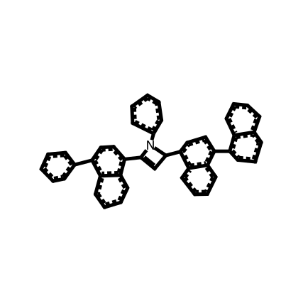 C1=C(c2ccc(-c3ccccc3)c3ccccc23)N(c2ccccc2)C1c1ccc(-c2cccc3ccccc23)c2ccccc12